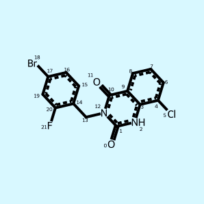 O=c1[nH]c2c(Cl)cccc2c(=O)n1Cc1ccc(Br)cc1F